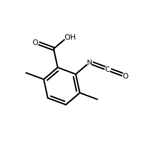 Cc1ccc(C)c(C(=O)O)c1N=C=O